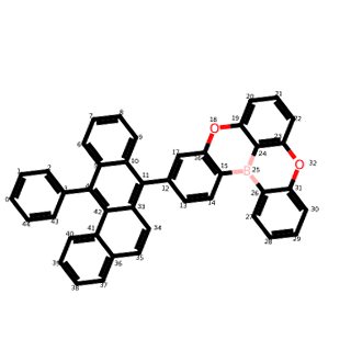 c1ccc(-c2c3ccccc3c(-c3ccc4c(c3)Oc3cccc5c3B4c3ccccc3O5)c3ccc4ccccc4c23)cc1